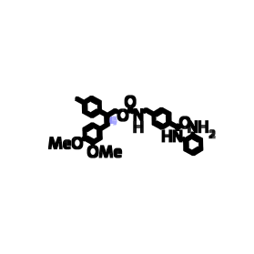 COc1ccc(/C=C(/COC(=O)NCc2ccc(C(=O)Nc3ccccc3N)cc2)c2ccc(C)cc2)cc1OC